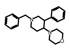 c1ccc(CN2CCC(N3CCOCC3)C(c3ccccc3)C2)cc1